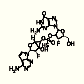 Nc1nc2c(ncn2[C@@H]2O[C@H](CO)[C@H](F)C2O[P@](=O)(S)OC2[C@H]3O[C@@H](n4ccc5c(N)ncnc54)[C@@H](F)[C@@]23O)c(=O)[nH]1